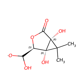 CC1(C)[C@]2(O)C(=O)O[C@H](C([O])O)[C@]12O